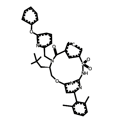 Cc1cccc(C)c1-c1cc2nc(n1)NS(=O)(=O)c1cccc(c1)C(=O)N(Cc1cccc(Oc3ccccc3)n1)[C@H](CC(C)(C)C)CO2